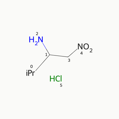 CC(C)C(N)C[N+](=O)[O-].Cl